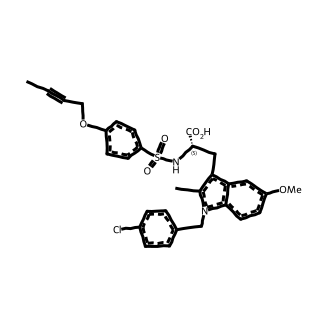 CC#CCOc1ccc(S(=O)(=O)N[C@@H](Cc2c(C)n(Cc3ccc(Cl)cc3)c3ccc(OC)cc23)C(=O)O)cc1